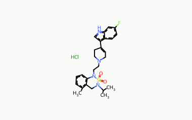 Cc1cccc2c1CN(C(C)C)S(=O)(=O)N2CCN1CC=C(c2c[nH]c3cc(F)ccc23)CC1.Cl